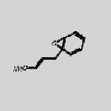 COC=CCC12C=CC=CC1O2